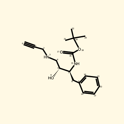 C#CCNC[C@@H](O)[C@H](Cc1ccccc1)NC(=O)OC(C)(C)C